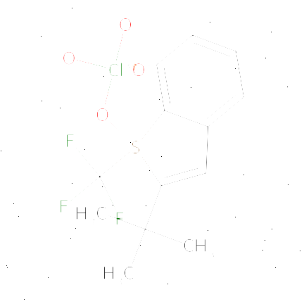 CC(C)(C)C1=Cc2ccccc2S1(O[Cl+3]([O-])([O-])[O-])C(F)(F)F